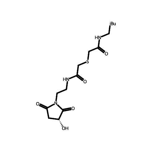 CCC(C)CNC(=O)CSCC(=O)NCCN1C(=O)C[C@@H](O)C1=O